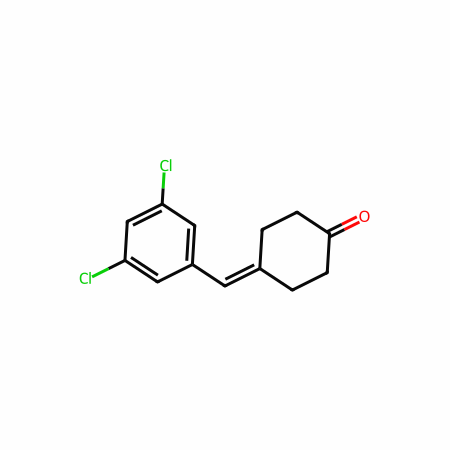 O=C1CCC(=Cc2cc(Cl)cc(Cl)c2)CC1